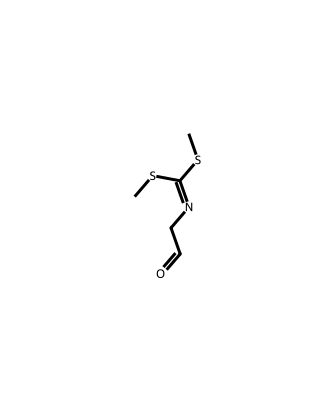 CSC(=NCC=O)SC